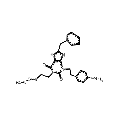 Nc1ccc(CCn2c(=O)n(CCSOOO)c(=O)c3[nH]c(Cc4ccccc4)nc32)cc1